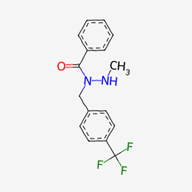 CNN(Cc1ccc(C(F)(F)F)cc1)C(=O)c1ccccc1